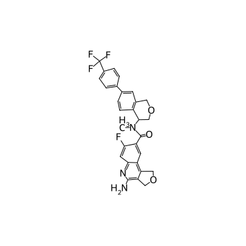 CN(C(=O)c1cc2c3c(c(N)nc2cc1F)COC3)C1COCc2cc(-c3ccc(C(F)(F)F)cc3)ccc21